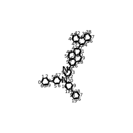 c1ccc(-c2ccc(N(c3ccc(-c4ccccc4)cc3)c3ccc(-c4cc5ccc6cc(-c7cc8ccccc8c8ccccc78)cc7ccc(c4)c5c67)nc3)cc2)cc1